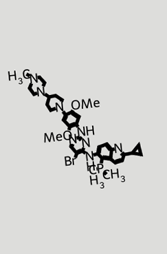 COc1cc(N2CCC(N3CCN(C)CC3)CC2)c(OC)cc1Nc1ncc(Br)c(Nc2ccc3nc(C4CC4)ccc3c2P(C)C)n1